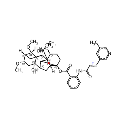 CCN1C[C@]2(OC(=O)c3ccccc3NC(=O)/C=C/c3cncc(C)c3)CC[C@H](OC)[C@]34C1[C@@H](C[C@H]23)[C@@]1(O)C[C@H](OC)[C@H]2C[C@@H]4[C@]1(O)[C@H]2OC